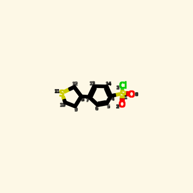 O=S(=O)(Cl)c1ccc(C2CCSC2)cc1